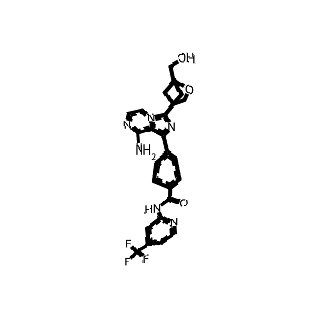 Nc1nccn2c(C34COC(CO)(C3)C4)nc(-c3ccc(C(=O)Nc4cc(C(F)(F)F)ccn4)cc3)c12